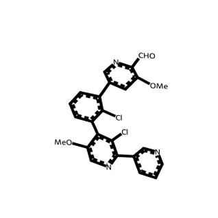 COc1cc(-c2cccc(-c3c(OC)cnc(-c4cccnc4)c3Cl)c2Cl)cnc1C=O